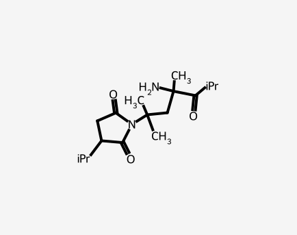 CC(C)C(=O)C(C)(N)CC(C)(C)N1C(=O)CC(C(C)C)C1=O